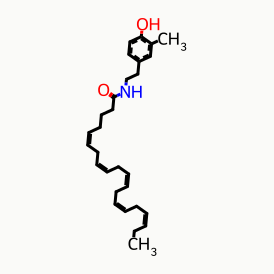 CC/C=C\C/C=C\C/C=C\C/C=C\C/C=C\CCCC(=O)NCCc1ccc(O)c(C)c1